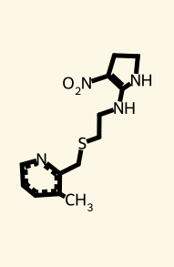 Cc1cccnc1CSCCNC1=C([N+](=O)[O-])CCN1